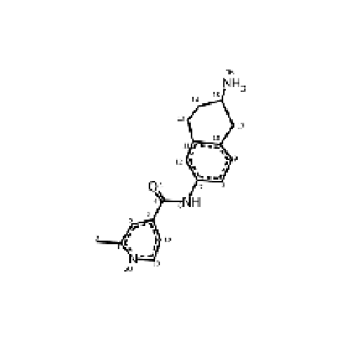 Cc1cc(C(=O)Nc2ccc3c(c2)CCC(N)C3)ccn1